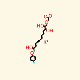 O=C([O-])COC[C@H](O)[C@@H](O)C=CC=CC#CC=C[C@H](O)COc1ccc(F)cc1.[K+]